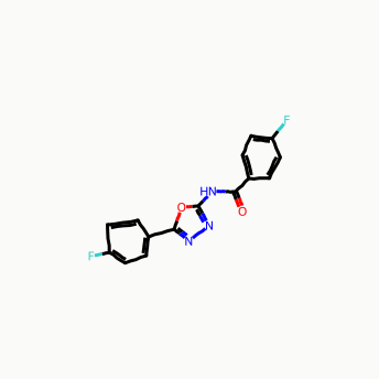 O=C(Nc1nnc(-c2ccc(F)cc2)o1)c1ccc(F)cc1